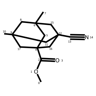 COC(=O)C12CC3(C)CC(C)(CC(C#N)(C3)C1)C2